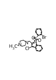 CN1CCN(Cc2c(Cl)c3ccccc3n2S(=O)(=O)c2ccccc2Br)CC1